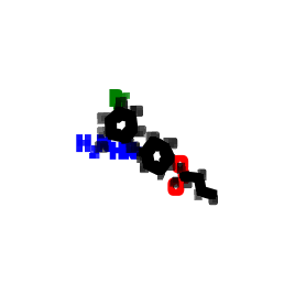 CCCC(=O)Oc1ccc(Nc2ccc(Br)cc2N)cc1